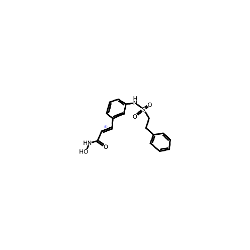 O=C(/C=C/c1cccc(NS(=O)(=O)CCc2ccccc2)c1)NO